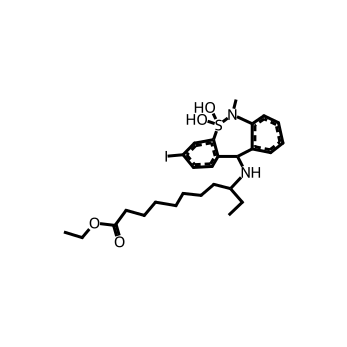 CCOC(=O)CCCCCCCC(CC)NC1c2ccccc2N(C)S(O)(O)c2cc(I)ccc21